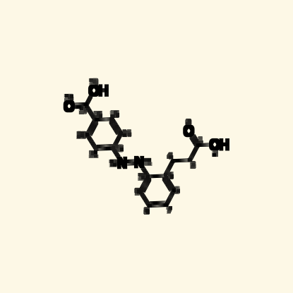 O=C(O)CCc1ccccc1/N=N/c1ccc(C(=O)O)cc1